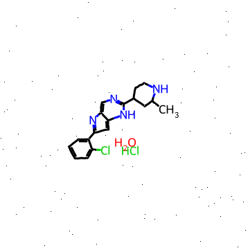 CC1CC(c2ncc3nc(-c4ccccc4Cl)cc-3[nH]2)CCN1.Cl.O